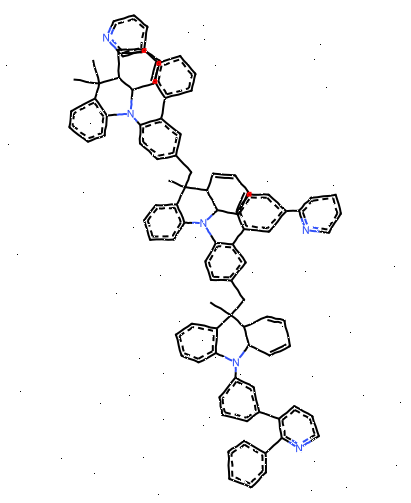 CC1(C)c2ccccc2N(c2ccc(CC3(C)c4ccccc4N(c4ccc(CC5(C)c6ccccc6N(c6cccc(-c7cccnc7-c7ccccc7)c6)C6C=CC=CC65)cc4-c4cccc(-c5ccccn5)c4)C4C=CC=CC43)cc2-c2cccc(-c3cccnc3)c2)C2C=CC=CC21